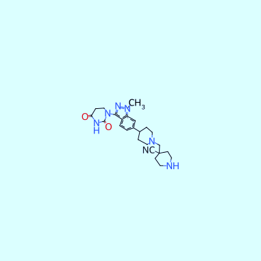 Cn1nc(N2CCC(=O)NC2=O)c2ccc(C3CCN(CC4(C#N)CCNCC4)CC3)cc21